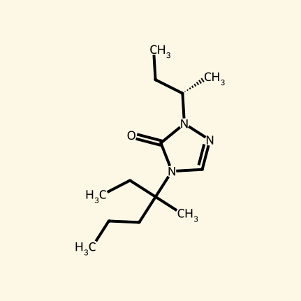 CCCC(C)(CC)n1cnn([C@@H](C)CC)c1=O